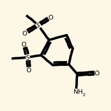 CS(=O)(=O)c1ccc(C(N)=O)cc1S(C)(=O)=O